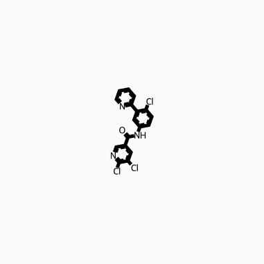 O=C(Nc1ccc(Cl)c(-c2ccccn2)c1)c1cnc(Cl)c(Cl)c1